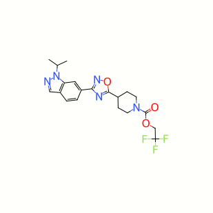 CC(C)n1ncc2ccc(-c3noc(C4CCN(C(=O)OCC(F)(F)F)CC4)n3)cc21